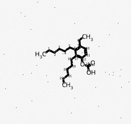 CCCCCCc1c(CC)ccc(OC(=O)O)c1CCCCCC